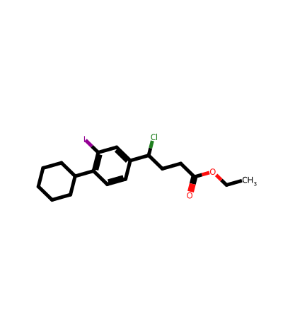 CCOC(=O)CCC(Cl)c1ccc(C2CCCCC2)c(I)c1